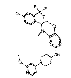 COc1cc(N2CCC(Nc3ncc4c(n3)N(C)C(c3ccc(Cl)cc3C(F)(F)F)CO4)CC2)ccn1